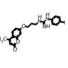 Cc1cc(=O)oc2cc(OCCCNC(=N)Nc3ccc(I)cc3)ccc12